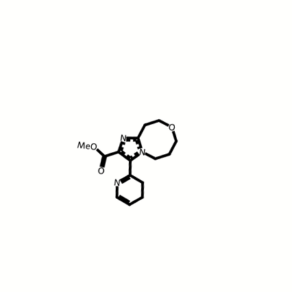 COC(=O)c1nc2n(c1C1=NC=CCC1)CCCOCC2